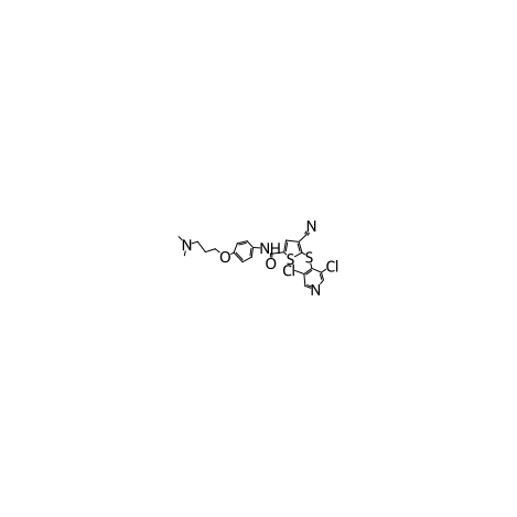 CN(C)CCCOc1ccc(NC(=O)c2cc(C#N)c(Sc3c(Cl)cncc3Cl)s2)cc1